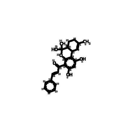 CC1=CC2c3c(O)cc(O)c(C(=O)/C=C/c4ccccc4)c3OC(C)(O)C2CC1